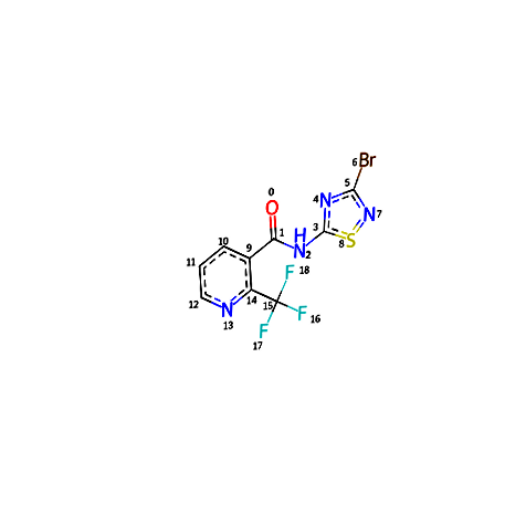 O=C(Nc1nc(Br)ns1)c1cccnc1C(F)(F)F